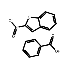 O=C(O)c1ccccc1.O=[N+]([O-])c1cc2ccccc2o1